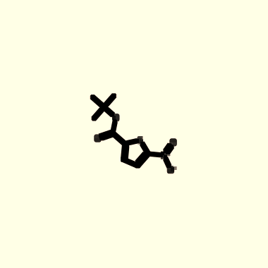 CC(C)(C)OC(=O)c1ccc([N+](=O)[O-])s1